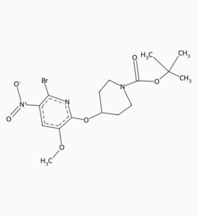 COc1cc([N+](=O)[O-])c(Br)nc1OC1CCN(C(=O)OC(C)(C)C)CC1